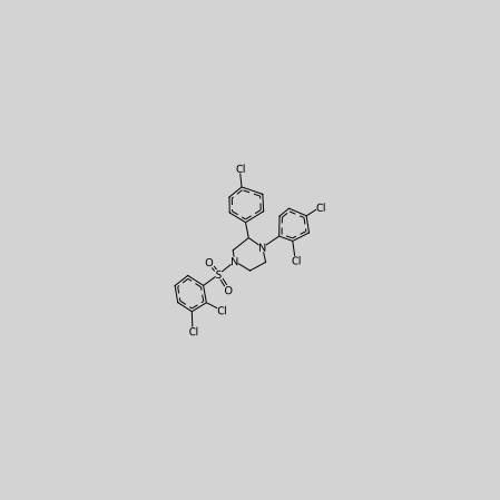 O=S(=O)(c1cccc(Cl)c1Cl)N1CCN(c2ccc(Cl)cc2Cl)C(c2ccc(Cl)cc2)C1